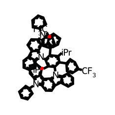 CC(C)c1c(-c2ccc(C(F)(F)F)cc2)c(-n2c3ccccc3c3ccc4c(c5ccccc5n4-c4ccccc4)c32)c(C(C)C)c(-n2c3ccccc3c3ccc4c(c5ccccc5n4-c4ccccc4)c32)c1-c1ccc(C(F)(F)F)cc1